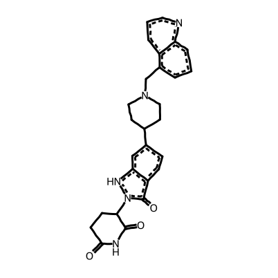 O=C1CCC(n2[nH]c3cc(C4CCN(Cc5cccc6ncccc56)CC4)ccc3c2=O)C(=O)N1